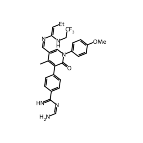 CC/C=C(/N=C\c1cn(-c2ccc(OC)cc2)c(=O)c(-c2ccc(C(=N)/N=C\N)cc2)c1C)NCC(F)(F)F